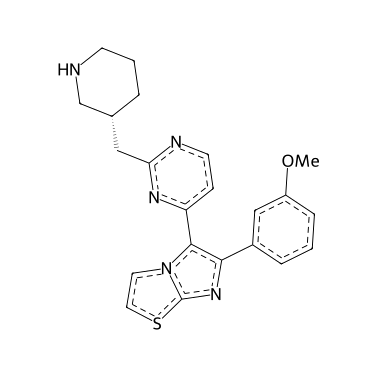 COc1cccc(-c2nc3sccn3c2-c2ccnc(C[C@H]3CCCNC3)n2)c1